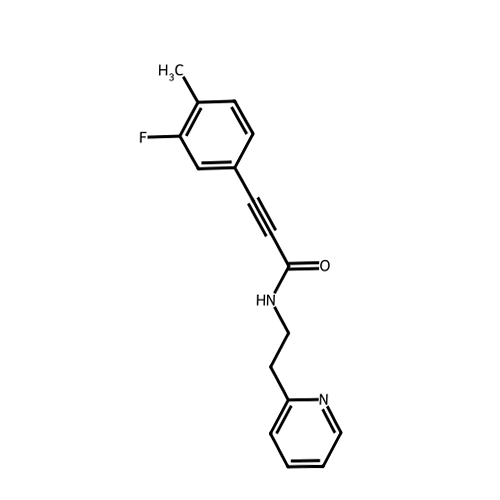 Cc1ccc(C#CC(=O)NCCc2ccccn2)cc1F